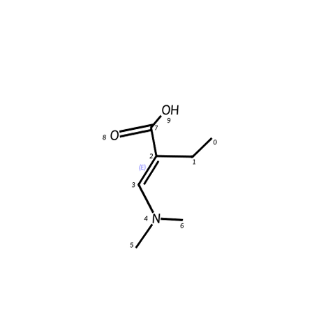 CC/C(=C\N(C)C)C(=O)O